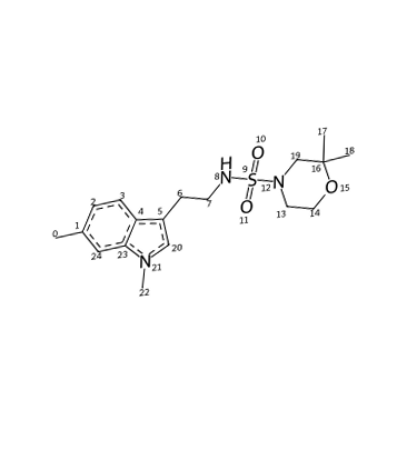 Cc1ccc2c(CCNS(=O)(=O)N3CCOC(C)(C)C3)cn(C)c2c1